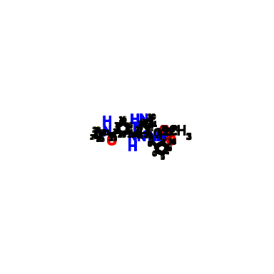 CN(c1ccccc1CNc1nc(Nc2cccc(C(=O)NC3CCC3)c2)nc2[nH]ccc12)S(C)(=O)=O